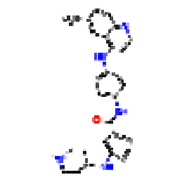 C[n+]1ccc(Nc2cccc(C(=O)Nc3ccc(Nc4ccnc5ccc([N+](=O)[O-])cc45)cc3)c2)cc1